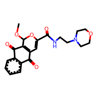 COC1OC(C(=O)NCCN2CCOCC2)=CC2=C1C(=O)c1ccccc1C2=O